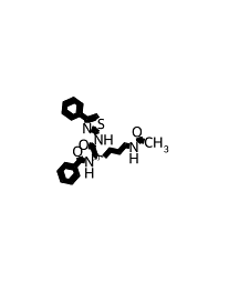 CC(=O)NCCCC[C@H](NC(=O)c1ccccc1)C(=O)Nc1nc(-c2ccccc2)cs1